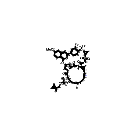 COc1ccc2c(O[C@@H]3C[C@H]4C(=O)N[C@]5(C(=O)NS(=O)(=O)C6CC6)CC5/C=C\CC[C@H](C)C[C@@H](C)[C@H](NC(=O)OCC5(C)CC5)C(=O)N4C3)nc(-c3ccc(OC(C)C)c(F)c3)cc2c1